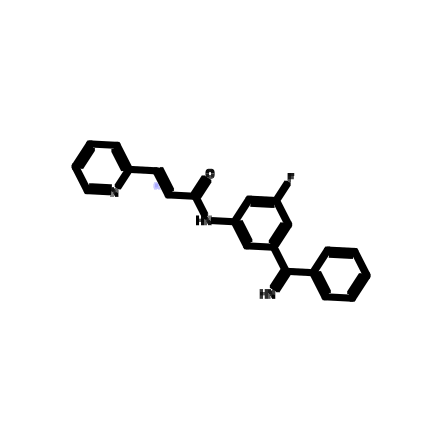 N=C(c1ccccc1)c1cc(F)cc(NC(=O)/C=C/c2ccccn2)c1